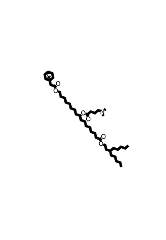 CCCCCC(CCCCC)CCOC(=O)CCCCCCCC(CCCCCCCCOC(=O)CC12CCC(CC1)CC2)OC(=O)CCCN(C)C